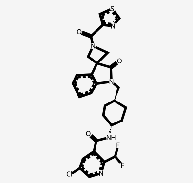 O=C(N[C@H]1CC[C@H](CN2C(=O)C3(CN(C(=O)c4cscn4)C3)c3ccccc32)CC1)c1cc(Cl)cnc1C(F)F